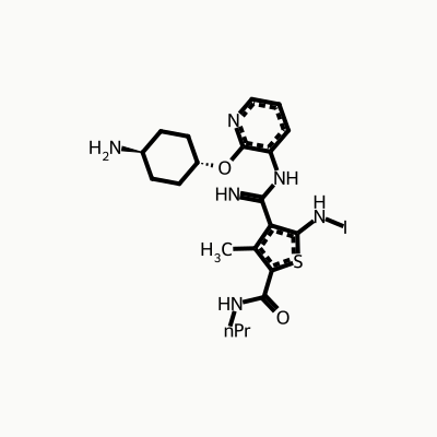 CCCNC(=O)c1sc(NI)c(C(=N)Nc2cccnc2O[C@H]2CC[C@H](N)CC2)c1C